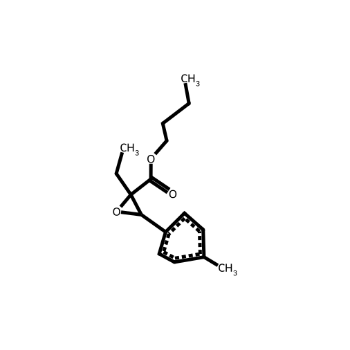 CCCCOC(=O)C1(CC)OC1c1ccc(C)cc1